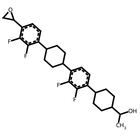 CC(O)C1CCC(c2ccc(C3CCC(c4ccc(C5CO5)c(F)c4F)CC3)c(F)c2F)CC1